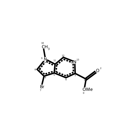 COC(=O)c1cc2c(Br)cn(C)c2cn1